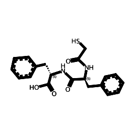 O=C(CS)N[C@@H](Cc1ccccc1)C(=O)N[C@@H](Cc1ccccc1)C(=O)O